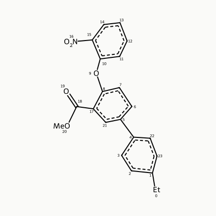 CCc1ccc(-c2ccc(Oc3ccccc3[N+](=O)[O-])c(C(=O)OC)c2)cc1